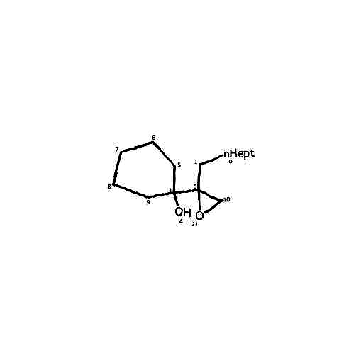 CCCCCCCCC1(C2(O)CCCCC2)CO1